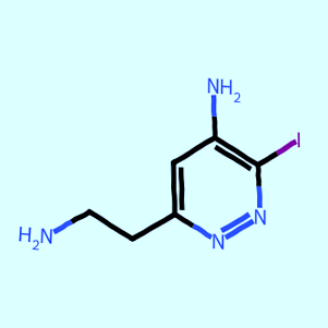 NCCc1cc(N)c(I)nn1